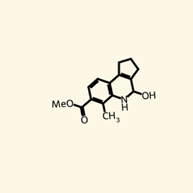 COC(=O)c1ccc2c(c1C)NC(O)C1=C2CCC1